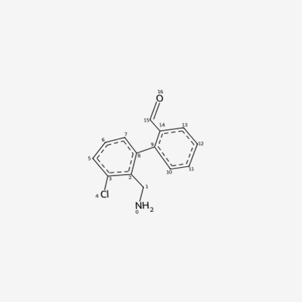 NCc1c(Cl)cccc1-c1ccccc1C=O